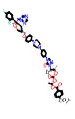 CC[C@@H]([C@H](C)OC(=O)OC(C)OC(=O)c1ccc(C(=O)O)cc1)n1ncn(-c2ccc(N3CCN(c4ccc(OC[C@@H]5CO[C@@](Cn6cncn6)(c6ccc(F)cc6F)C5)cc4)CC3)cc2)c1=O